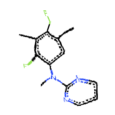 Cc1cc(N(C)c2ncccn2)c(F)c(C)c1F